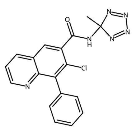 CC1(NC(=O)c2cc3cccnc3c(-c3ccccc3)c2Cl)N=NN=N1